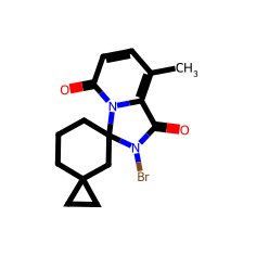 Cc1ccc(=O)n2c1C(=O)N(Br)C21CCCC2(CC2)C1